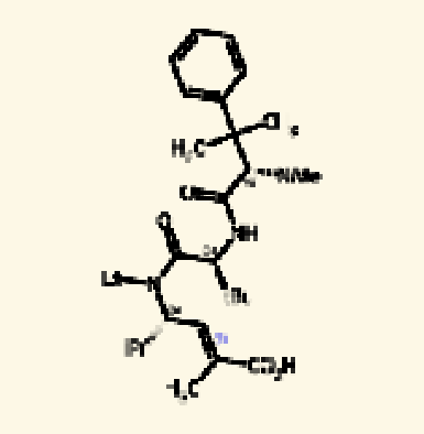 CCN(C(=O)[C@@H](NC(=O)[C@@H](NC)C(C)(C)c1ccccc1)C(C)(C)C)[C@H](/C=C(\C)C(=O)O)C(C)C